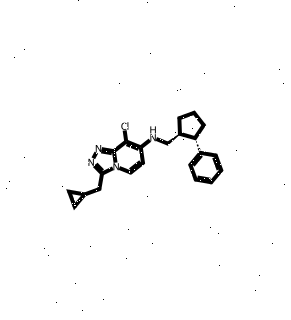 Clc1c(NC[C@H]2CCC[C@@H]2c2ccccc2)ccn2c(CC3CC3)nnc12